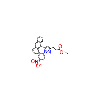 CCOC(=O)CCc1cc(-c2c3ccccc3cc3ccccc23)n(-c2ccc([N+](=O)[O-])cc2)n1